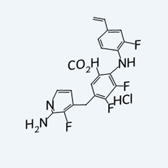 C=Cc1ccc(Nc2c(C(=O)O)cc(Cc3ccnc(N)c3F)c(F)c2F)c(F)c1.Cl